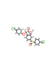 COC(=O)C(C)(Oc1ccc(Cl)cc1)c1ccc([S+]([O-])c2ccc(Cl)cc2)cc1